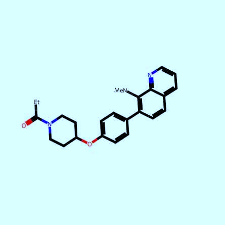 CCC(=O)N1CCC(Oc2ccc(-c3ccc4cccnc4c3NC)cc2)CC1